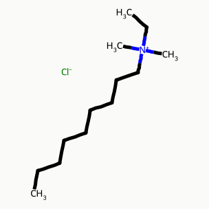 CCCCCCCCC[N+](C)(C)CC.[Cl-]